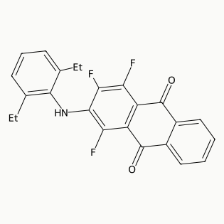 CCc1cccc(CC)c1Nc1c(F)c(F)c2c(c1F)C(=O)c1ccccc1C2=O